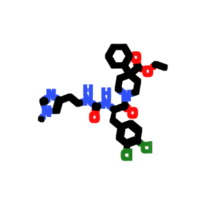 CCOC(=O)C1(C2CCCCC2)CCN(C(=O)[C@@H](Cc2ccc(Cl)c(Cl)c2)NC(=O)NCCc2cn(C)cn2)CC1